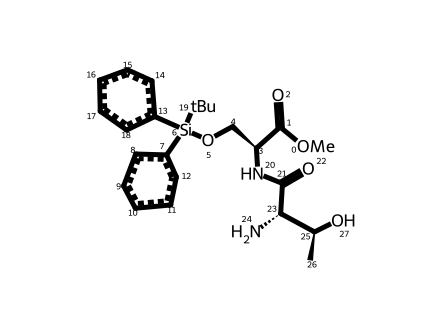 COC(=O)[C@H](CO[Si](c1ccccc1)(c1ccccc1)C(C)(C)C)NC(=O)[C@@H](N)[C@H](C)O